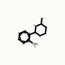 CC1CCCC(c2ccccc2O)C1